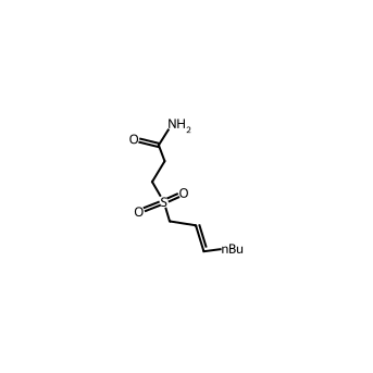 CCCCC=CCS(=O)(=O)CCC(N)=O